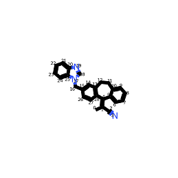 CC(C#N)=C1c2ccccc2CCc2cc(Cn3cnc4ccccc43)ccc21